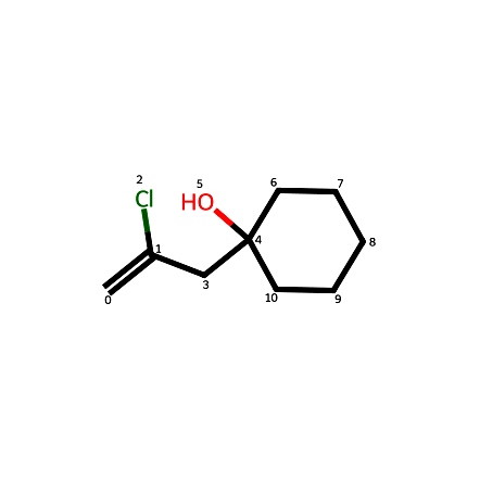 C=C(Cl)CC1(O)CCCCC1